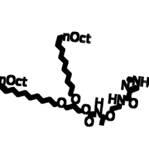 CCCCCCCC/C=C\CCCCCCCCOCC(COC(=O)NC(C)OCCNC(=O)c1c[nH]cn1)OCCCCCCCC/C=C\CCCCCCCC